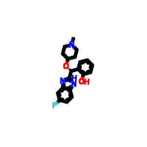 CN1CCC(O[C@@H](c2nc3cc(F)ccc3[nH]2)c2ccccc2O)CC1